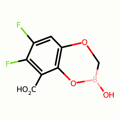 O=C(O)c1c(F)c(F)cc2c1OB(O)CO2